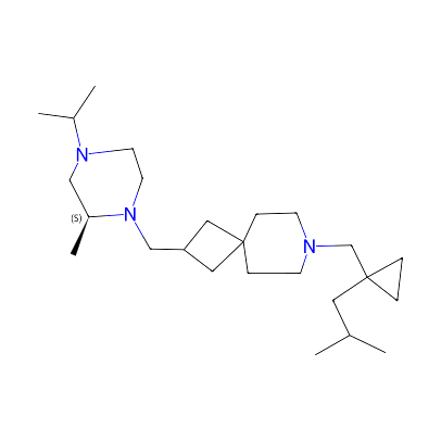 CC(C)CC1(CN2CCC3(CC2)CC(CN2CCN(C(C)C)C[C@@H]2C)C3)CC1